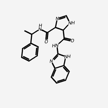 CC(NC(=O)C1N=CNC1C(=O)Nc1nc2ccccc2[nH]1)c1ccccc1